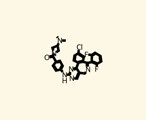 CN(C)C1CN(C(=O)c2ccc(Nc3ncc4c(n3)-c3ccc(Cl)cc3C(c3c(F)cccc3F)=NC4)cc2)C1